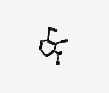 CCNc1cccc(NC(C)=O)c1OC